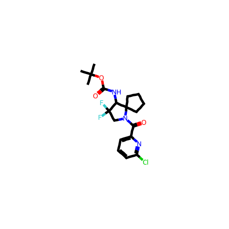 CC(C)(C)OC(=O)NC1C(F)(F)CN(C(=O)c2cccc(Cl)n2)C12CCCC2